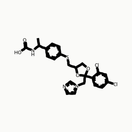 CC(NC(=O)O)c1ccc(SCC2COC(Cn3ccnc3)(c3ccc(Cl)cc3Cl)O2)cc1